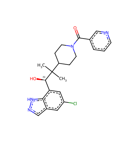 CC(C)(C1CCN(C(=O)c2cccnc2)CC1)[C@H](O)c1cc(Cl)cc2cn[nH]c12